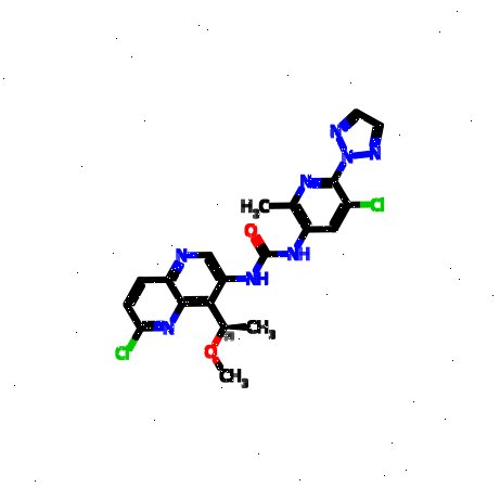 CO[C@H](C)c1c(NC(=O)Nc2cc(Cl)c(-n3nccn3)nc2C)cnc2ccc(Cl)nc12